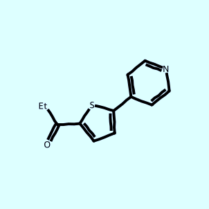 CCC(=O)c1ccc(-c2ccncc2)s1